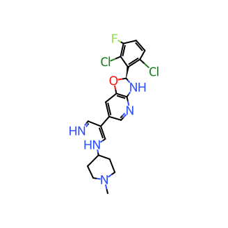 CN1CCC(N/C=C(\C=N)c2cnc3c(c2)O[C@@H](c2c(Cl)ccc(F)c2Cl)N3)CC1